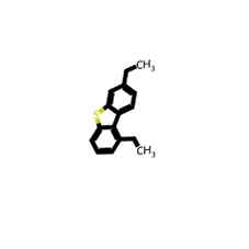 CCc1ccc2c(c1)sc1cccc(CC)c12